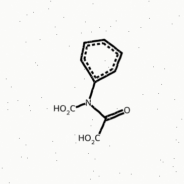 O=C(O)C(=O)N(C(=O)O)c1ccccc1